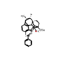 COc1ccc2c3c1O[C@H]1C4(OC)CC[C@@]5(C[C@]4(C)COCc4ccccc4)[C@@H](C2)N(C)CC[C@]315